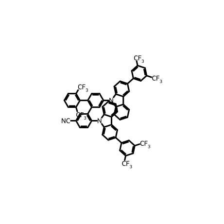 N#Cc1ccc(-n2c3ccccc3c3cc(-c4cc(C(F)(F)F)cc(C(F)(F)F)c4)ccc32)c(-c2cc(-n3c4ccccc4c4cc(-c5cc(C(F)(F)F)cc(C(F)(F)F)c5)ccc43)ccc2-c2c(C(F)(F)F)cccc2C(F)(F)F)c1